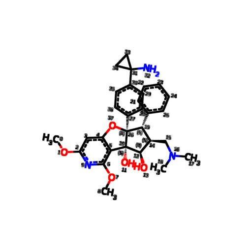 COc1cc2c(c(OC)n1)[C@]1(O)[C@H](O)[C@H](CN(C)C)[C@@H](c3ccccc3)[C@]1(c1ccc(C3(N)CC3)cc1)O2